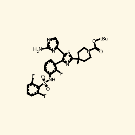 CC(C)(C)OC(=O)N1CCC(C)(c2nc(-c3cccc(NS(=O)(=O)c4c(F)cccc4F)c3F)c(-c3ccnc(N)n3)s2)CC1